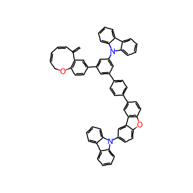 C=C1/C=C\C=C/COc2ccc(-c3cc(-c4ccc(-c5ccc6oc7ccc(-n8c9ccccc9c9ccccc98)cc7c6c5)cc4)cc(-n4c5ccccc5c5ccccc54)c3)cc21